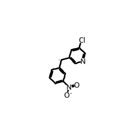 O=[N+]([O-])c1cccc([CH]c2cncc(Cl)c2)c1